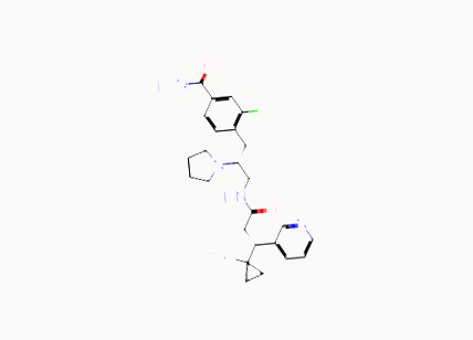 NC(=O)c1ccc(C[C@@H](CNC(=O)C[C@@H](c2cccnc2)C2(C(F)(F)F)CC2)N2CCCC2)c(Cl)c1